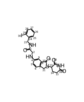 O=C(CNc1ccc2c(c1)C(=O)N(C1CCC(=O)NC1=O)C2)NCc1ccccc1I